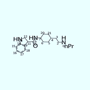 CCCNCCC1CCC(NC(=O)C2CNc3ccccc32)CC1